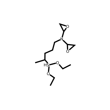 CCO[SiH](OCC)C(C)CCCN(C1CO1)C1CO1